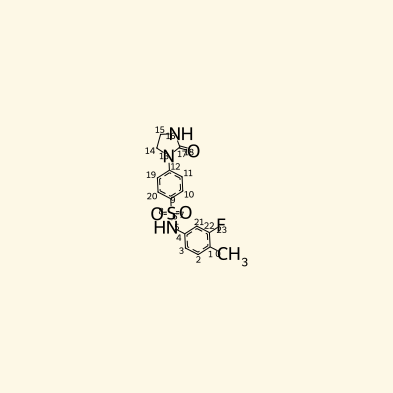 Cc1ccc(NS(=O)(=O)c2ccc(N3CCNC3=O)cc2)cc1F